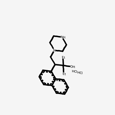 CCC(O)(CC)C(CN1CCNCC1)c1cccc2ccccc12.Cl.Cl